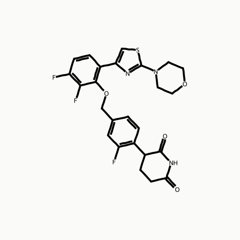 O=C1CCC(c2ccc(COc3c(-c4csc(N5CCOCC5)n4)ccc(F)c3F)cc2F)C(=O)N1